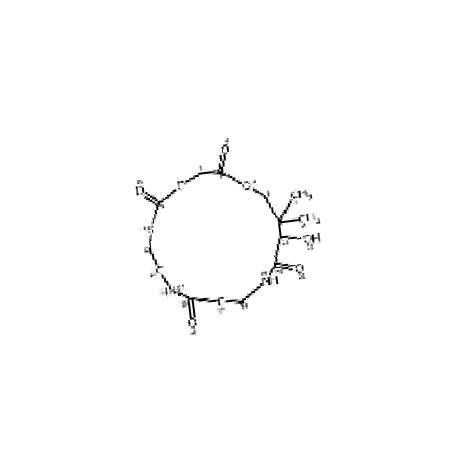 CC1(C)COC(=O)CCC(=O)SCCNC(=O)CCNC(=O)C1O